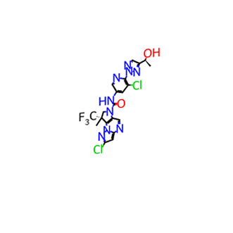 C[C@H](O)c1cnn(-c2ncc(NC(=O)N3C[C@@](C)(C(F)(F)F)c4c3cnc3cc(Cl)nn43)cc2Cl)n1